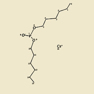 CCCCCCOP([O-])OCCCCCC.[Cs+]